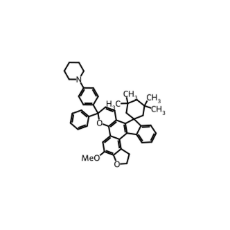 COc1cc2c3c(c4c(c2c2c1OCC2)-c1ccccc1C41CC(C)(C)CC(C)(C)C1)C=CC(c1ccccc1)(c1ccc(N2CCCCC2)cc1)O3